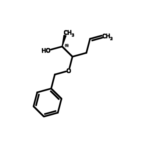 C=CCC(OCc1ccccc1)[C@H](C)O